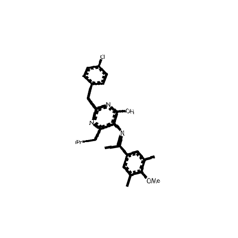 COc1c(C)cc(/C(C)=N/c2c(O)nc(Cc3ccc(Cl)cc3)nc2CC(C)C)cc1C